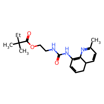 CCC(C)(C)C(=O)OCCNC(=O)NC1=C2N=C(C)C=CC2CC=C1